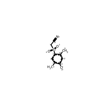 Cc1cc(S(=O)(=O)CC#N)c(C)cc1Cl